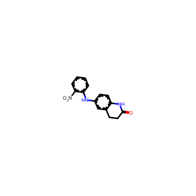 O=C1CCc2cc(Nc3ccccc3[N+](=O)[O-])ccc2N1